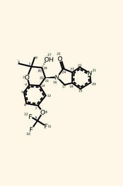 CC1(C)Oc2ccc(OC(F)(F)F)cc2[C@H](N2Cc3ccncc3C2=O)[C@H]1O